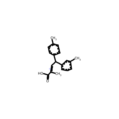 C/C(=C\C(c1ccc(C)cc1)c1cccc(C)c1)C(=O)O